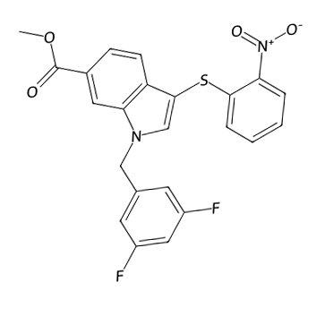 COC(=O)c1ccc2c(Sc3ccccc3[N+](=O)[O-])cn(Cc3cc(F)cc(F)c3)c2c1